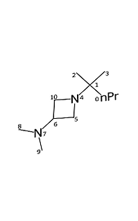 CCCC(C)(C)N1CC(N(C)C)C1